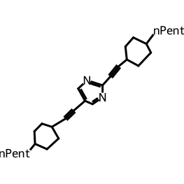 CCCCCC1CCC(C#Cc2cnc(C#CC3CCC(CCCCC)CC3)nc2)CC1